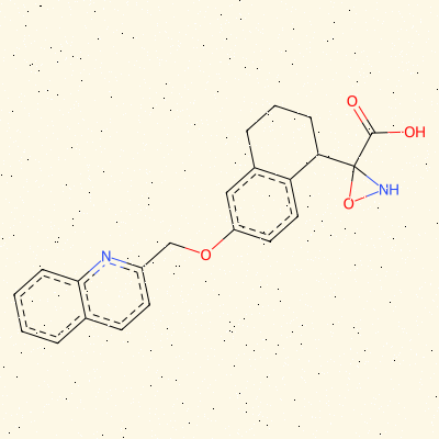 O=C(O)C1(C2CCCc3cc(OCc4ccc5ccccc5n4)ccc32)NO1